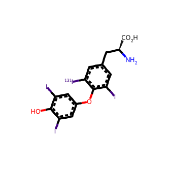 N[C@@H](Cc1cc(I)c(Oc2cc(I)c(O)c(I)c2)c([131I])c1)C(=O)O